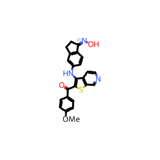 COc1ccc(C(=O)c2sc3cnccc3c2Nc2ccc3c(c2)CC/C3=N/O)cc1